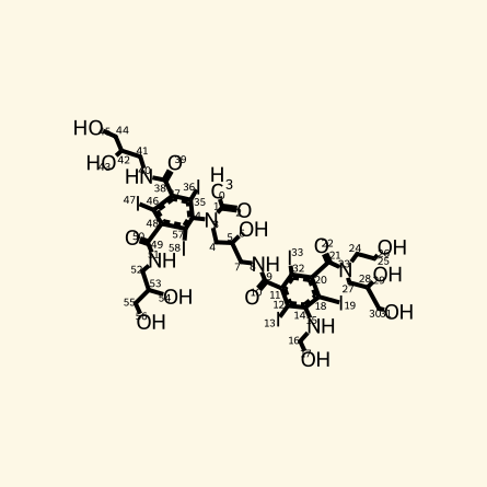 CC(=O)N(CC(O)CNC(=O)c1c(I)c(NCO)c(I)c(C(=O)N(CCO)CC(O)CO)c1I)c1c(I)c(C(=O)NCC(O)CO)c(I)c(C(=O)NCC(O)CO)c1I